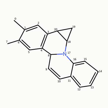 Cc1cc2c(cc1C)C1C=Cc3ccccc3N1C1CC21